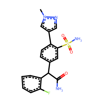 Cn1cc(-c2ccc(C(C(N)=O)c3ccccc3F)cc2S(N)(=O)=O)cn1